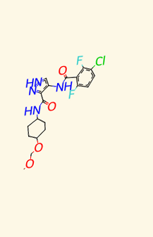 COCOC1CCC(NC(=O)c2n[nH]cc2NC(=O)c2c(F)ccc(Cl)c2F)CC1